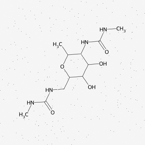 CNC(=O)NCC1OC(C)C(NC(=O)NC)C(O)C1O